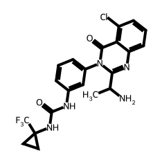 CC(N)c1nc2cccc(Cl)c2c(=O)n1-c1cccc(NC(=O)NC2(C(F)(F)F)CC2)c1